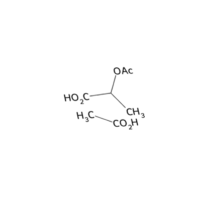 CC(=O)O.CC(=O)OC(C)C(=O)O